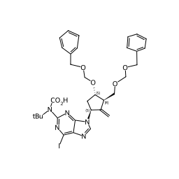 C=C1[C@H](COCOCc2ccccc2)[C@@H](OCOCc2ccccc2)C[C@@H]1n1cnc2c(I)nc(N(C(=O)O)C(C)(C)C)nc21